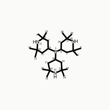 CC1(C)CC(B(C2CC(C)(C)NC(C)(C)C2)C2CC(C)(C)NC(C)(C)C2)CC(C)(C)N1